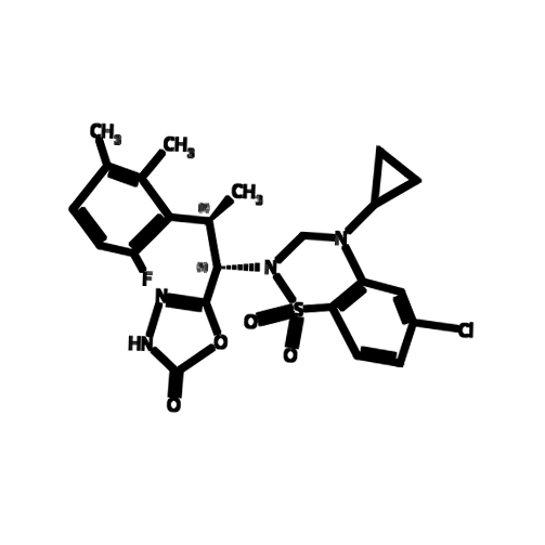 Cc1ccc(F)c([C@@H](C)[C@@H](c2n[nH]c(=O)o2)N2CN(C3CC3)c3cc(Cl)ccc3S2(=O)=O)c1C